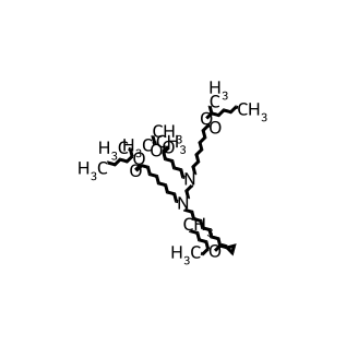 CCCCCC(CC)OC(=O)CCCCCCCCN(CCCCCCCCC(OC(CC)CCCCC)=C1CC1)CCCN(CCCCCCCCC(=O)OC(CC)CCCCC)CCCCCC(=O)OC(C)(C)CC